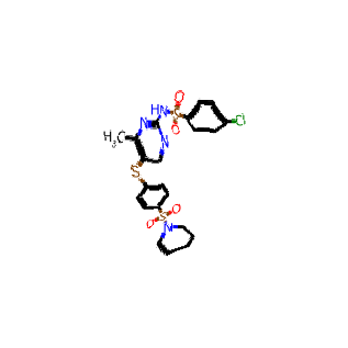 Cc1nc(NS(=O)(=O)c2ccc(Cl)cc2)ncc1Sc1ccc(S(=O)(=O)N2CCCCC2)cc1